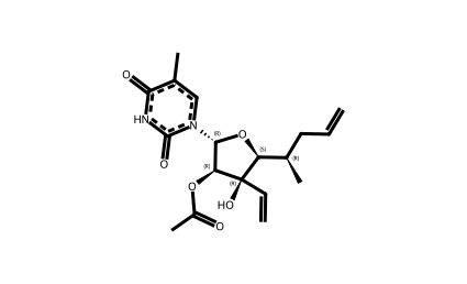 C=CC[C@@H](C)[C@@H]1O[C@@H](n2cc(C)c(=O)[nH]c2=O)[C@H](OC(C)=O)[C@@]1(O)C=C